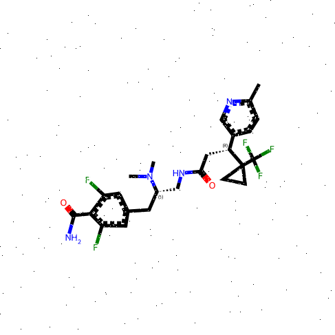 Cc1ccc([C@@H](CC(=O)NC[C@H](Cc2cc(F)c(C(N)=O)c(F)c2)N(C)C)C2(C(F)(F)F)CC2)cn1